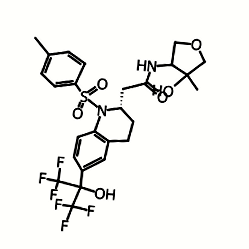 Cc1ccc(S(=O)(=O)N2c3ccc(C(O)(C(F)(F)F)C(F)(F)F)cc3CC[C@H]2CC(=O)NC2COCC2(C)O)cc1